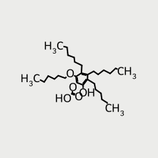 CCCCCCOc1c(CCCCCC)c(CCCCCC)c(CCCCCC)c(O)c1OC(=O)O